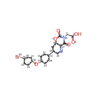 O=C(O)Cn1c(=O)oc2cc(-c3ccc(Oc4ccc(Br)cc4)cc3)cnc2c1=O